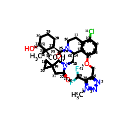 Cn1nnc(COc2ccc(Cl)c3c2[C@@H](CN2CC4(CC4)CC2=O)N(C(=O)[C@@H]2CCC[C@H](O)[C@]2(C)C(=O)O)CC3)c1C(F)F